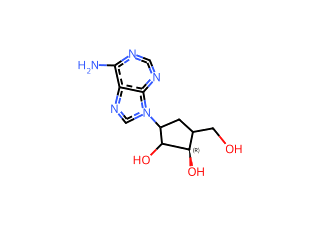 Nc1ncnc2c1ncn2C1CC(CO)[C@@H](O)C1O